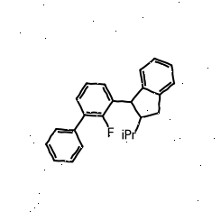 CC(C)C1Cc2ccccc2C1c1cccc(-c2ccccc2)c1F